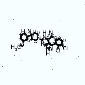 COc1cccc(C2(N)CCN(c3nc(C(N)=O)c4c(-c5cccc(Cl)c5Cl)n[nH]c4n3)CC2)c1